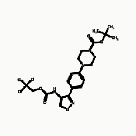 CC(C)(C)OC(=O)N1CCN(c2ccc(-c3nocc3NC(=O)OCC(Cl)(Cl)Cl)cc2)CC1